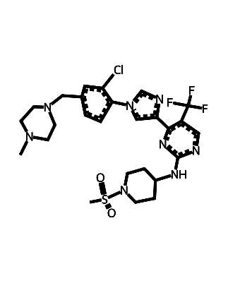 CN1CCN(Cc2ccc(-n3cnc(-c4nc(NC5CCN(S(C)(=O)=O)CC5)ncc4C(F)(F)F)c3)c(Cl)c2)CC1